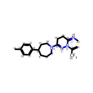 C=C(N1N=C(N2CCCC(c3ccc(C)cc3)CC2)CC/C1=N/C)C(F)(F)F